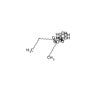 CCCCCCCCCC/C=C\CCCCCCCCCC(=O)OC[C@H](COP(=O)(O)OC1C(O)C(O)C(O)[C@@H](O)C1O)OC(=O)CCCCCCCCCCCCC